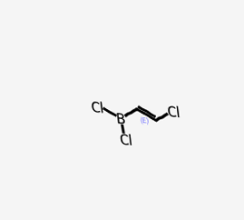 Cl/C=C/B(Cl)Cl